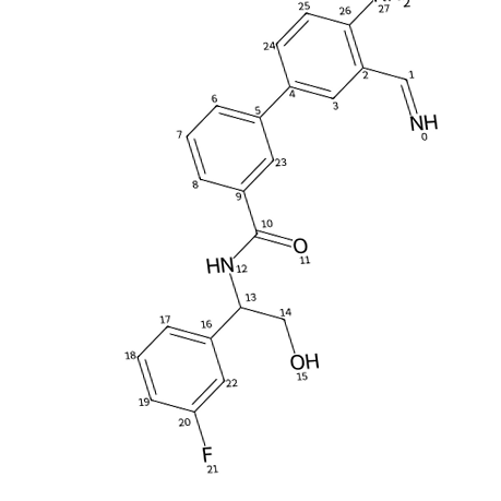 N=Cc1cc(-c2cccc(C(=O)NC(CO)c3cccc(F)c3)c2)ccc1N